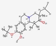 [2H]C([2H])([2H])Oc1cc2c(cc1OC)C1N(CC2)CC([2H])(CC(C)C)C(=O)C1([2H])[2H]